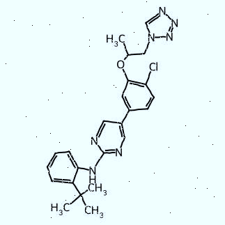 CC(Cn1cnnn1)Oc1cc(-c2cnc(Nc3ccccc3C(C)(C)C)nc2)ccc1Cl